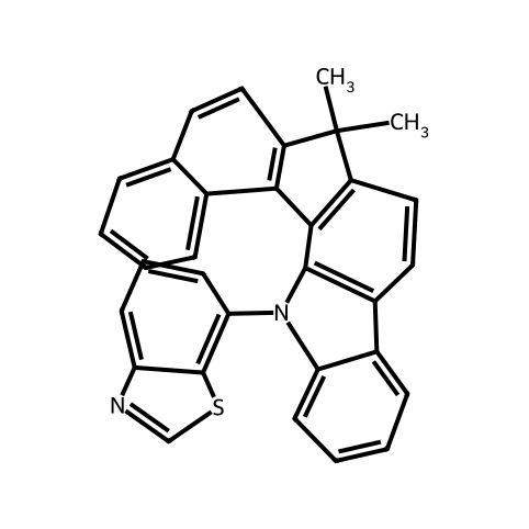 CC1(C)c2ccc3ccccc3c2-c2c1ccc1c3ccccc3n(-c3cccc4ncsc34)c21